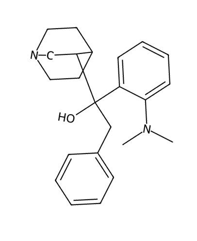 CN(C)c1ccccc1C(O)(Cc1ccccc1)C1CN2CCC1CC2